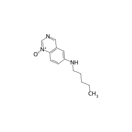 CCCCCNc1ccc2c(cnc[n+]2[O-])c1